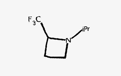 CC(C)N1CCC1C(F)(F)F